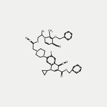 CC1=C(OCc2ccccc2)C(=C=O)C=CN1C(COC(=C=O)CN1CCN(c2cc3c(cc2F)C(=C=O)C(C(=O)OCc2ccccc2)=CN3C2CC2)CC1)C(C)C